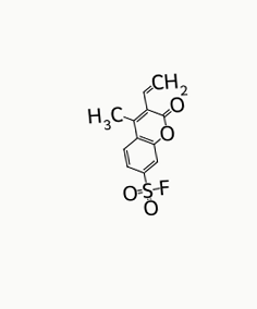 C=Cc1c(C)c2ccc(S(=O)(=O)F)cc2oc1=O